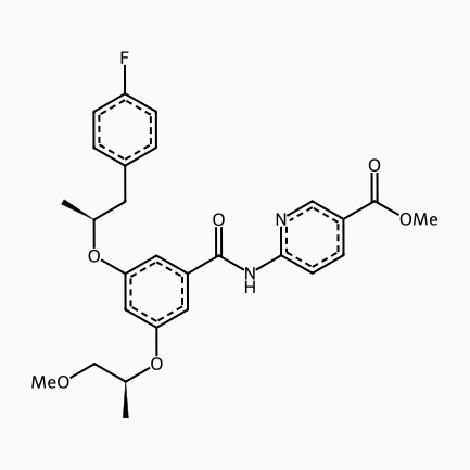 COC[C@H](C)Oc1cc(O[C@@H](C)Cc2ccc(F)cc2)cc(C(=O)Nc2ccc(C(=O)OC)cn2)c1